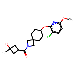 COc1ccc(Cl)c(OC2CCC3(CC2)CN(C(=O)C2CC(C)(O)C2)C3)n1